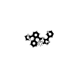 NC(=NC1C(c2cccnc2)=NOC1C(=O)O)c1cccc(C2OCCO2)c1-c1ccccc1